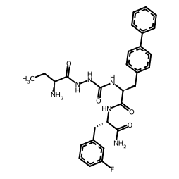 CC[C@H](N)C(=O)NNC(=O)N[C@@H](Cc1ccc(-c2ccccc2)cc1)C(=O)N[C@@H](Cc1cccc(F)c1)C(N)=O